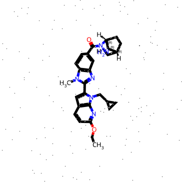 CCOc1ccc2cc(-c3nc4cc(C(=O)N5C[C@H]6CC[C@@H]5[C@@H]6N)ccc4n3C)n(CC3CC3)c2n1